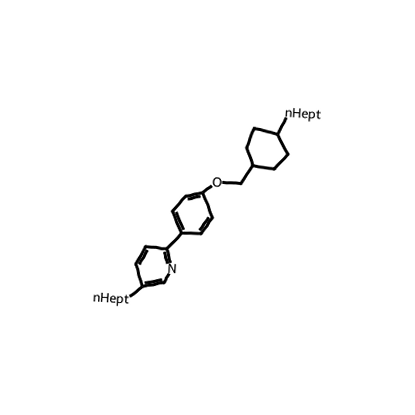 CCCCCCCc1ccc(-c2ccc(OCC3CCC(CCCCCCC)CC3)cc2)nc1